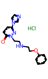 Cl.O=c1ccc(-n2ccnc2)nn1CCNCCOc1ccccc1